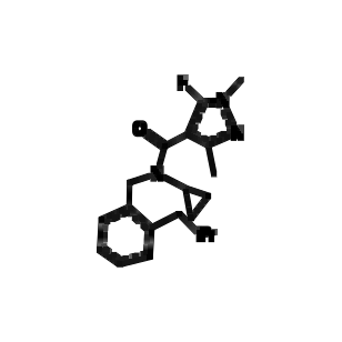 Cc1nn(C)c(F)c1C(=O)N(Cc1ccccc1CC(C)C)C1CC1